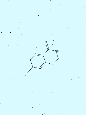 O=C1NCCC2=CC(F)CC=C12